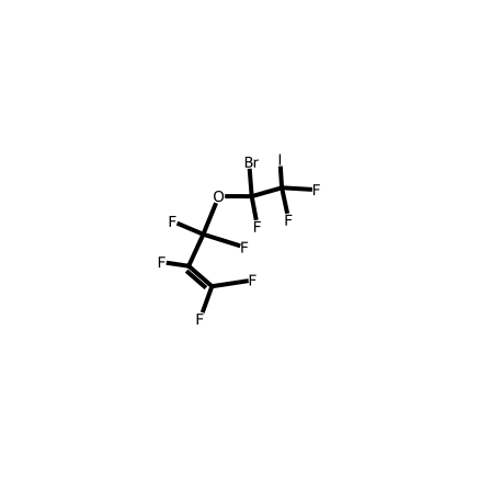 FC(F)=C(F)C(F)(F)OC(F)(Br)C(F)(F)I